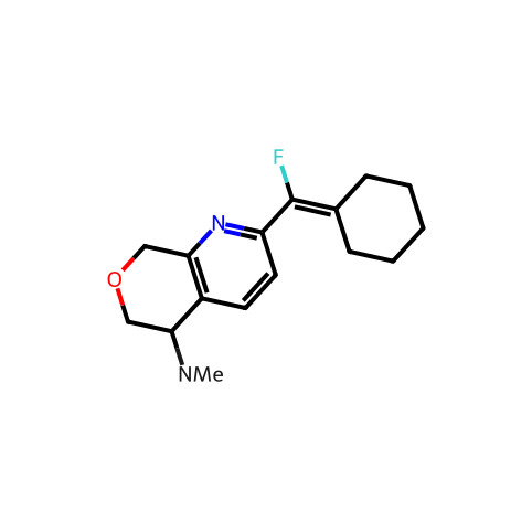 CNC1COCc2nc(C(F)=C3CCCCC3)ccc21